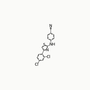 N#Cc1ccc(Nc2nc(-c3ccc(Cl)cc3Cl)cs2)cc1